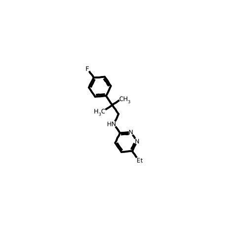 CCc1ccc(NCC(C)(C)c2ccc(F)cc2)nn1